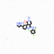 O=c1[nH]ccc2c(Nc3c(F)cc(F)cc3F)nc3ccc(-c4ccn[nH]4)cc3c12